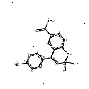 COC(=O)c1ccc2c(c1)C(c1ccc(C#N)cc1)=CC(C)(C)O2